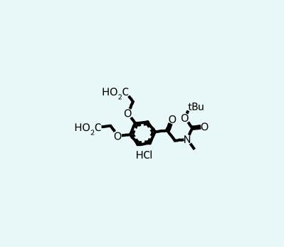 CN(CC(=O)c1ccc(OCC(=O)O)c(OCC(=O)O)c1)C(=O)OC(C)(C)C.Cl